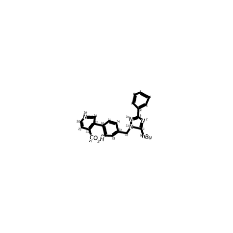 CCCCc1nc(-c2ccccc2)nn1Cc1ccc(-c2cnccc2C(=O)O)cc1